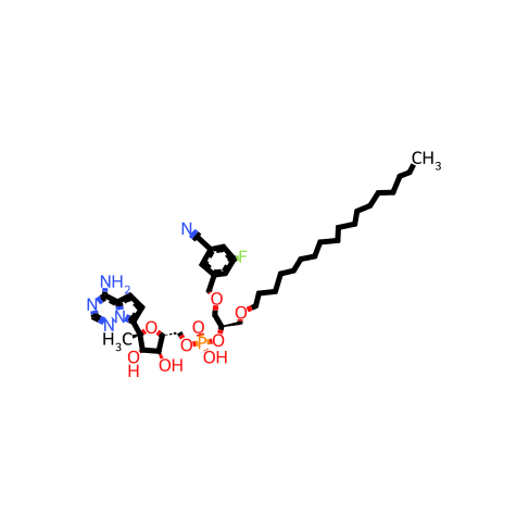 CCCCCCCCCCCCCCCCCCOC[C@H](COCc1cc(F)cc(C#N)c1)OP(=O)(O)OC[C@H]1O[C@@](C)(c2ccc3c(N)ncnn23)[C@H](O)[C@@H]1O